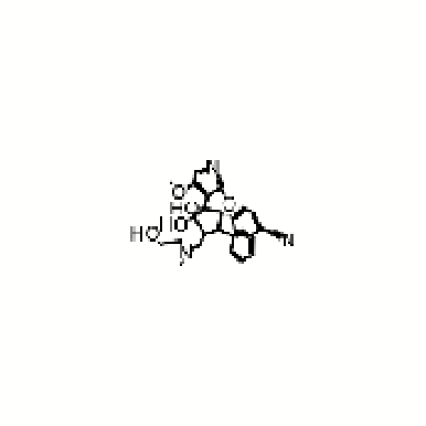 COc1cncc2c1[C@]1(O)[C@H](O)C(CN(C)CCO)C(c3ccccc3)[C@]1(c1ccc(C#N)cc1)O2